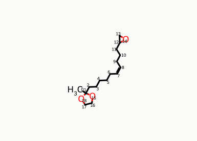 CC1(CCCCC/C=C\CCCC2CO2)OCCO1